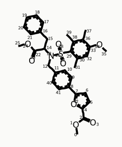 COC(=O)c1ccc(-c2ccc(CN(C(Cc3ccccc3)C(=O)OC)S(=O)(=O)c3c(C)cc(OC)c(C)c3C)cc2)o1